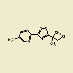 Cc1ccc(-c2noc(C(C)(C)CCl)n2)cc1